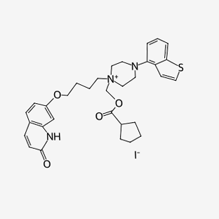 O=C(OC[N+]1(CCCCOc2ccc3ccc(=O)[nH]c3c2)CCN(c2cccc3sccc23)CC1)C1CCCC1.[I-]